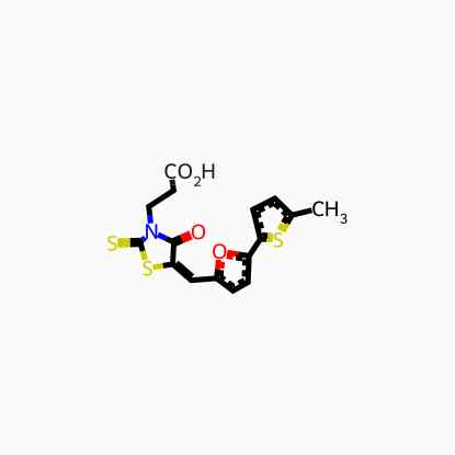 Cc1ccc(-c2ccc(C=C3SC(=S)N(CCC(=O)O)C3=O)o2)s1